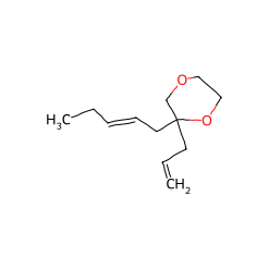 C=CCC1(CC=CCC)COCCO1